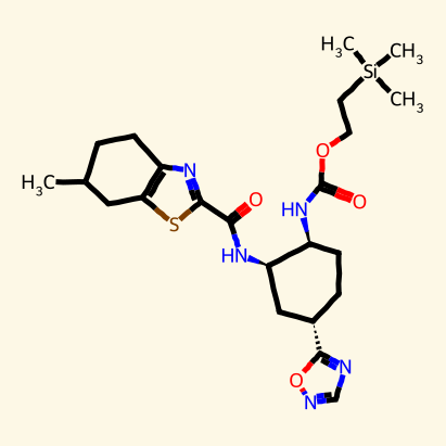 CC1CCc2nc(C(=O)N[C@@H]3C[C@@H](c4ncno4)CC[C@@H]3NC(=O)OCC[Si](C)(C)C)sc2C1